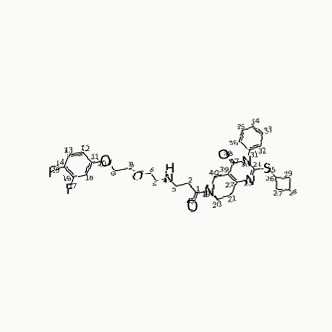 O=C(CCNCCOCCOc1ccc(F)c(F)c1)N1CCc2nc(SC3CCC3)n(-c3ccccc3)c(=O)c2C1